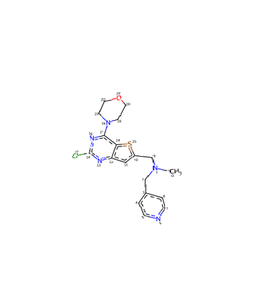 CN(Cc1ccncc1)Cc1cc2nc(Cl)nc(N3CCOCC3)c2s1